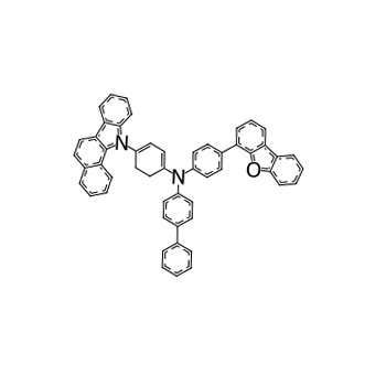 C1=C(N(c2ccc(-c3ccccc3)cc2)c2ccc(-c3cccc4c3oc3ccccc34)cc2)CCC(n2c3ccccc3c3ccc4ccccc4c32)=C1